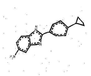 Nc1ccc2[nH]c(-c3ccc(C4CC4)cc3)nc2c1